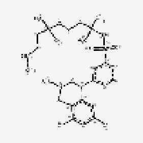 CNCCC(C)(C)OCCC(C)(C)NS(=O)(=O)c1cccc(C2CN(C)Cc3c(Cl)cc(Cl)cc32)c1